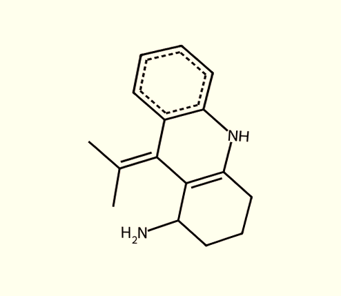 CC(C)=C1C2=C(CCCC2N)Nc2ccccc21